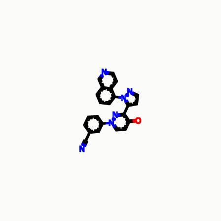 N#Cc1cccc(-n2ccc(=O)c(-c3ccnn3-c3cccc4cnccc34)n2)c1